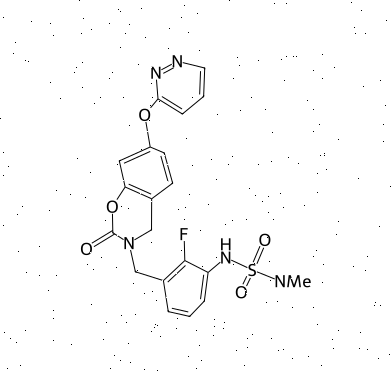 CNS(=O)(=O)Nc1cccc(CN2Cc3ccc(Oc4cccnn4)cc3OC2=O)c1F